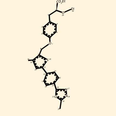 CCOC(=O)[C@H](Cc1ccc(OCc2sc(-c3ccc(-c4nnc(C)o4)cc3)cc2C)cc1)OCC